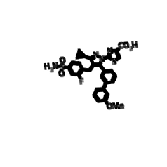 COc1cccc(-c2cccc(-c3c(Cc4ccc(S(N)(=O)=O)cc4F)c(C4CC4)nn3-c3nc(C(=O)O)cs3)c2)c1